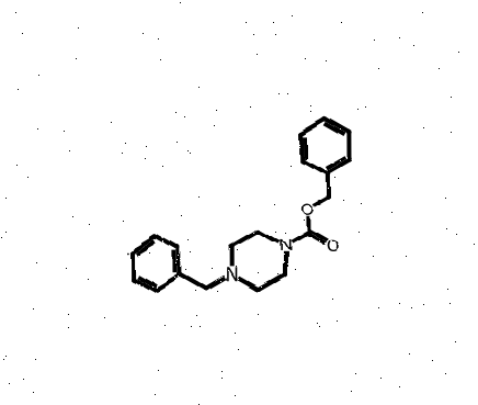 O=C(OCc1ccccc1)N1CCN(Cc2cc[c]cc2)CC1